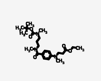 CCOC(=O)CCN(C)c1ccc(C(=O)N(C)CCCN(C)C(=O)OC(C)(C)C)cc1